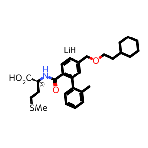 CSCC[C@H](NC(=O)c1ccc(COCCC2CCCCC2)cc1-c1ccccc1C)C(=O)O.[LiH]